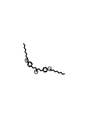 CCCCCCCCOc1ccc(CCC(=O)CCc2ccc(OCCCCCCCC)cc2)cc1